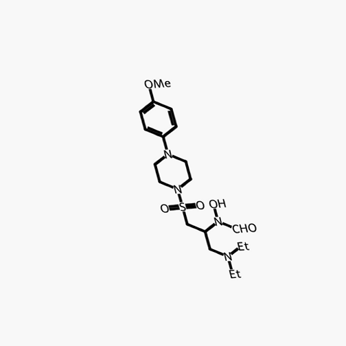 CCN(CC)CC(CS(=O)(=O)N1CCN(c2ccc(OC)cc2)CC1)N(O)C=O